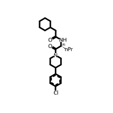 CCC[C@@H](NC(=O)CC1CCCCC1)C(=O)N1CCC(c2ccc(Cl)cc2)CC1